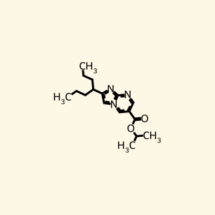 CCCC(CCC)c1cn2cc(C(=O)OC(C)C)cnc2n1